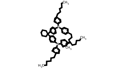 CCCCCCc1ccc(N(c2ccc(CCCCCC)cc2)c2ccc(C3(c4ccc(N(c5ccc(CCCCCC)cc5)c5ccc(CCCCCC)cc5)cc4)CCCCC3)cc2)cc1